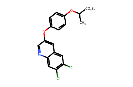 CCOC(=O)C(C)Oc1ccc(Oc2cnc3cc(Cl)c(Cl)cc3c2)cc1